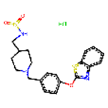 Cl.O=[SH](=O)NCC1CCN(Cc2ccc(Oc3nc4ccccc4s3)cc2)CC1